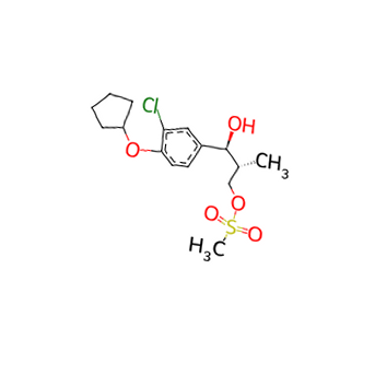 C[C@H](COS(C)(=O)=O)[C@H](O)c1ccc(OC2CCCC2)c(Cl)c1